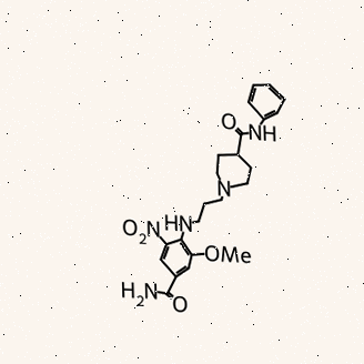 COc1cc(C(N)=O)cc([N+](=O)[O-])c1NCCCN1CCC(C(=O)Nc2ccccc2)CC1